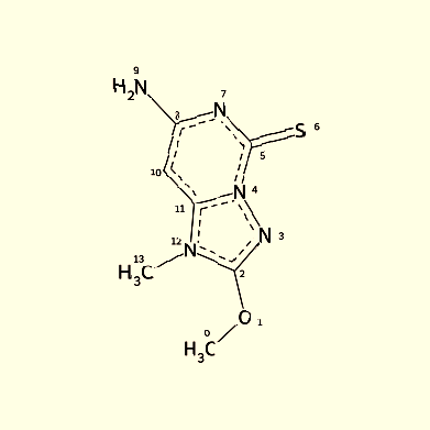 COc1nn2c(=S)nc(N)cc2n1C